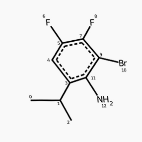 CC(C)c1cc(F)c(F)c(Br)c1N